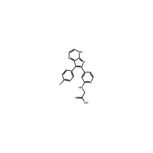 O=C(O)CNc1cc(-c2nc3[nH]ccnc-3c2-c2ccc(F)cc2)ccn1